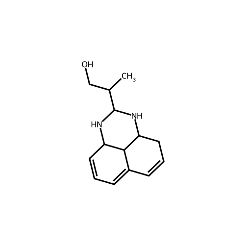 CC(CO)C1NC2C=CC=C3C=CCC(N1)C32